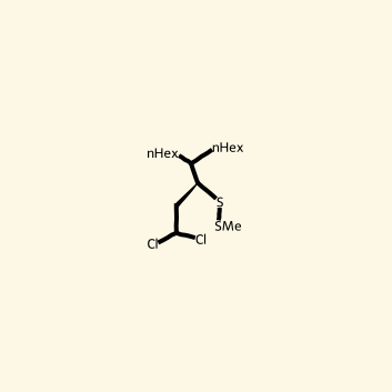 CCCCCCC(CCCCCC)[C@H](CC(Cl)Cl)SSC